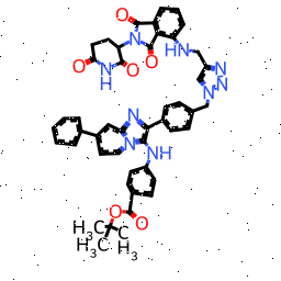 CC(C)(C)OC(=O)c1ccc(Nc2c(-c3ccc(Cn4cc(CNc5cccc6c5C(=O)N(C5CCC(=O)NC5=O)C6=O)nn4)cc3)nc3cc(-c4ccccc4)ccn23)cc1